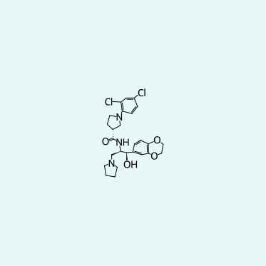 O=C(N[C@H](CN1CCCC1)[C@H](O)c1ccc2c(c1)OCCO2)[C@@H]1CCN(c2ccc(Cl)cc2Cl)C1